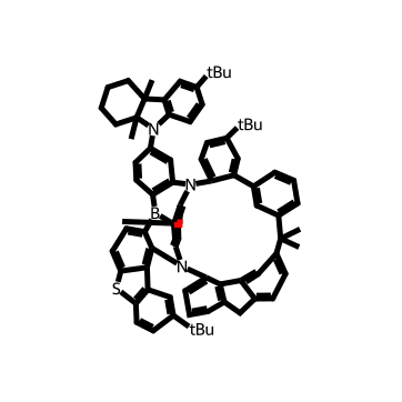 Cc1cc2c3c(c1)N1c4cccc5c4-c4cc(ccc4C5)C(C)(C)c4cccc(c4)-c4cc(C(C)(C)C)ccc4N2c2cc(N4c5ccc(C(C)(C)C)cc5C5(C)CCCCC45C)ccc2B3c2ccc3sc4ccc(C(C)(C)C)cc4c3c21